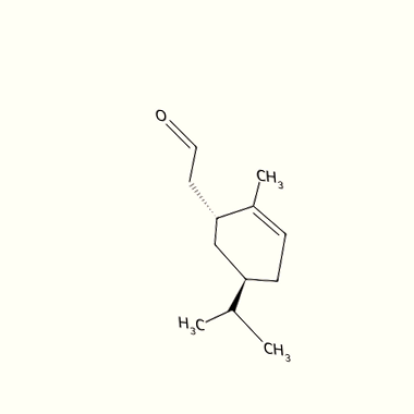 CC1=CC[C@@H](C(C)C)C[C@@H]1CC=O